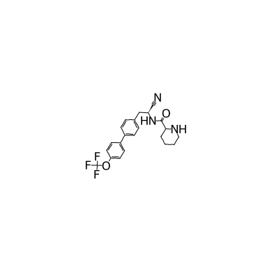 N#C[C@H](Cc1ccc(-c2ccc(OC(F)(F)F)cc2)cc1)NC(=O)C1CCCCN1